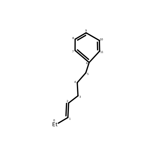 CCC=CCCCc1cc[c]cc1